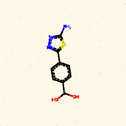 Nc1nnc(-c2ccc(B(O)O)cc2)s1